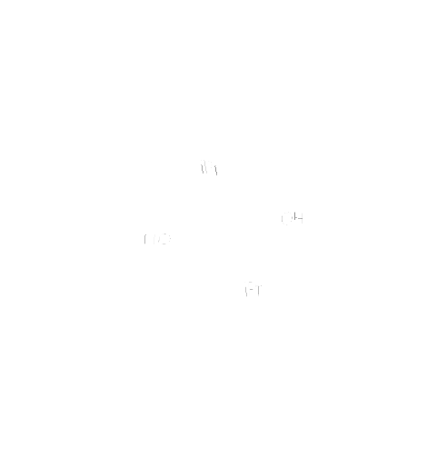 CC(C)/C(O)=C(\O)C(C)C